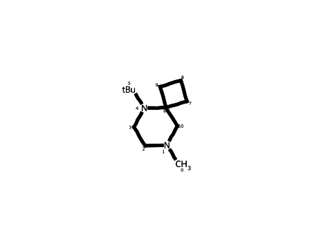 CN1CCN(C(C)(C)C)C2(CCC2)C1